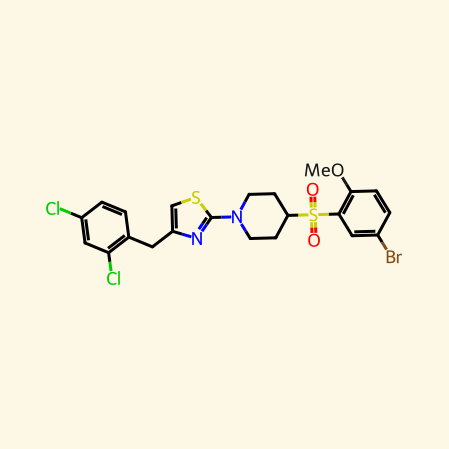 COc1ccc(Br)cc1S(=O)(=O)C1CCN(c2nc(Cc3ccc(Cl)cc3Cl)cs2)CC1